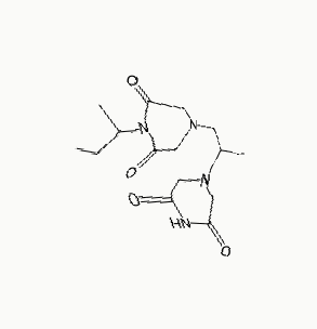 CCC(C)N1C(=O)CN(CC(C)N2CC(=O)NC(=O)C2)CC1=O